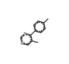 Cc1ccc(-c2ncncc2C)cc1